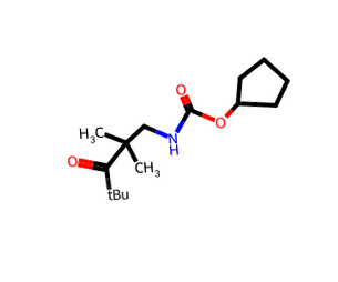 CC(C)(C)C(=O)C(C)(C)CNC(=O)OC1CCCC1